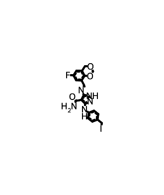 NC(=O)c1c(Nc2ccc(CI)cc2)n[nH]c1/N=C/c1cc(F)cc2c1OCOC2